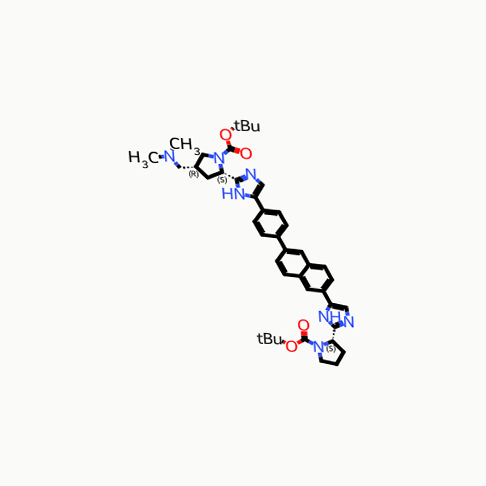 CN(C)C[C@H]1C[C@@H](c2ncc(-c3ccc(-c4ccc5cc(-c6cnc([C@@H]7CCCN7C(=O)OC(C)(C)C)[nH]6)ccc5c4)cc3)[nH]2)N(C(=O)OC(C)(C)C)C1